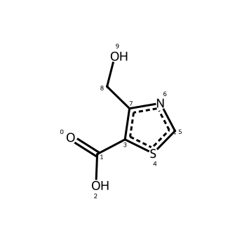 O=C(O)c1s[c]nc1CO